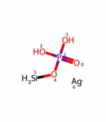 O=P(O)(O)O[SiH3].[Ag]